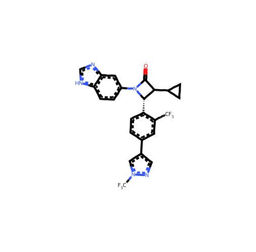 O=C1C(C2CC2)[C@H](c2ccc(-c3cnn(C(F)(F)F)c3)cc2C(F)(F)F)N1c1ccc2[nH]cnc2c1